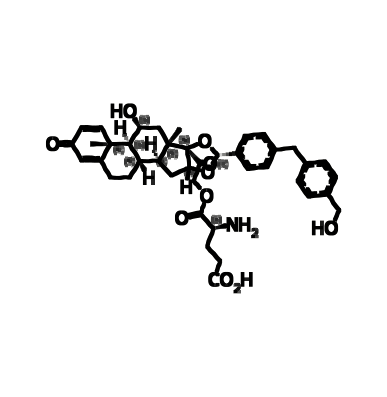 C[C@]12C=CC(=O)C=C1CC[C@@H]1[C@@H]2[C@@H](O)C[C@@]2(C)[C@H]1C[C@H]1O[C@@H](c3ccc(Cc4ccc(CO)cc4)cc3)O[C@]12C(=O)COC(=O)[C@@H](N)CCC(=O)O